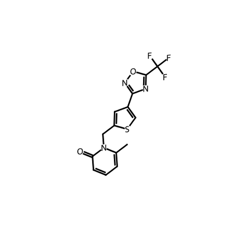 Cc1cccc(=O)n1Cc1cc(-c2noc(C(F)(F)F)n2)cs1